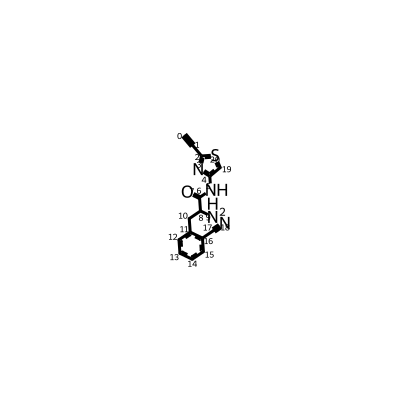 C#Cc1nc(NC(=O)C(N)Cc2ccccc2C#N)cs1